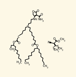 CCCCCCCCC(CC)OC(=O)CCCCCCCN(CCCCCCCC(=O)OC(CCCCCCCC)CCCCCCCC)CCCNC1=C(C(N)=O)C(=O)OC1.COC(=O)C(C#N)=C(SC)SC